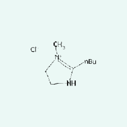 CCCCC1=[N+](C)CCN1.[Cl-]